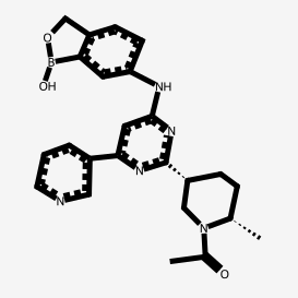 CC(=O)N1C[C@H](c2nc(Nc3ccc4c(c3)B(O)OC4)cc(-c3cccnc3)n2)CC[C@@H]1C